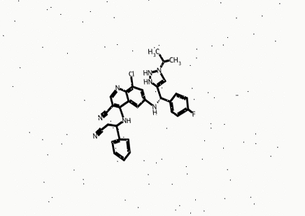 CC(C)N1C=C([C@@H](Nc2cc(Cl)c3ncc(C#N)c(NC(CC#N)c4ccccc4)c3c2)c2ccc(F)cc2)NN1